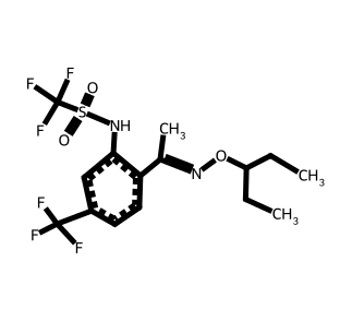 CCC(CC)O/N=C(\C)c1ccc(C(F)(F)F)cc1NS(=O)(=O)C(F)(F)F